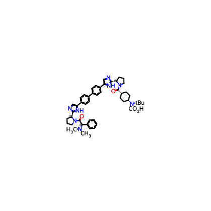 CN(C)[C@@H](C(=O)N1CCC[C@H]1c1ncc(-c2ccc(-c3ccc(-c4cnc([C@@H]5CCCN5C(=O)[C@H]5CC[C@@H](N(C(=O)O)C(C)(C)C)CC5)[nH]4)cc3)cc2)[nH]1)c1ccccc1